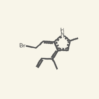 C=C/C(C)=c1/cc(C)[nH]/c1=C/CBr